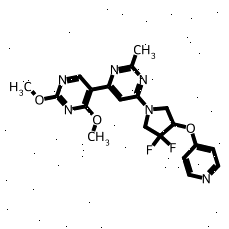 COc1ncc(-c2cc(N3CC(Oc4ccncc4)C(F)(F)C3)nc(C)n2)c(OC)n1